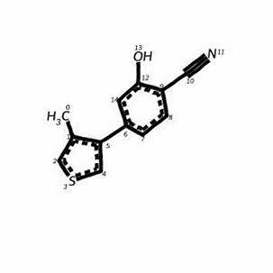 Cc1cscc1-c1ccc(C#N)c(O)c1